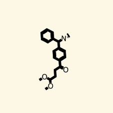 C#[N+]C(c1ccccc1)c1ccc(C(=O)CCC(OC)OC)cc1